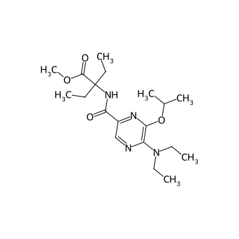 CCN(CC)c1ncc(C(=O)NC(CC)(CC)C(=O)OC)nc1OC(C)C